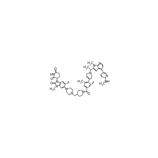 CNc1ccc(-c2ccnc3c2cc([C@H](C)N2CC=C(c4c(C)cc(C(=O)N5CCC(CN6CCN(c7cc8c(cc7F)n(C7CCC(=O)NC7=O)c(=O)n8C)CC6)CC5)cc4F)CC2)n3C)cn1